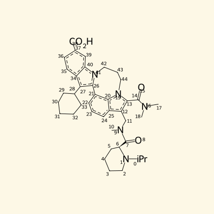 CC(C)N1CCCC[C@H]1C(=O)N(C)Cc1c(C(=O)N(C)C)n2c3c(cccc13)-c1c(C3CCCCC3)c3ccc(C(=O)O)cc3n1CCC2